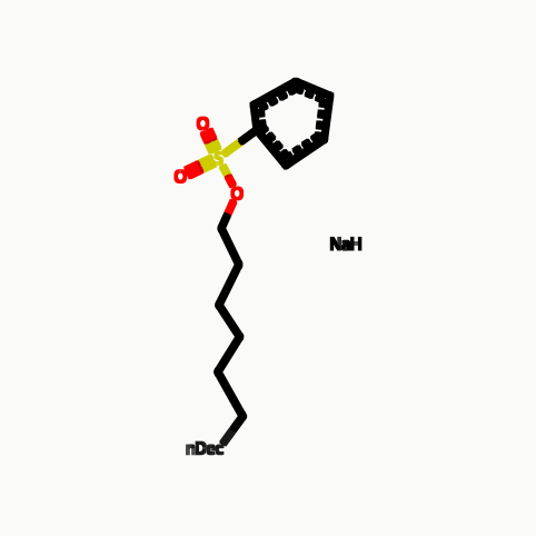 CCCCCCCCCCCCCCCCOS(=O)(=O)c1ccccc1.[NaH]